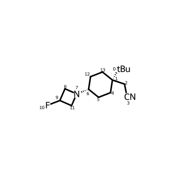 CC(C)(C)[C@]1(CC#N)CC[C@H](N2CC(F)C2)CC1